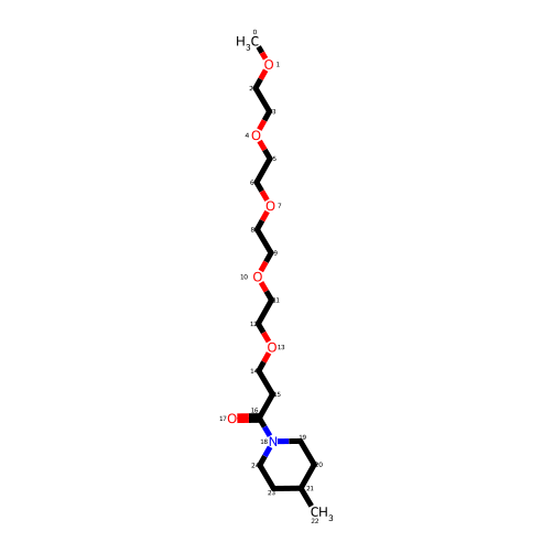 COCCOCCOCCOCCOCCC(=O)N1CCC(C)CC1